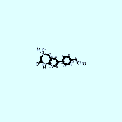 CN1CC(=O)Nc2ncc(-c3ccc(CC=O)cc3)cc2C1